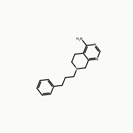 Nc1ncnc2c1CCN(CCCc1ccccc1)C2